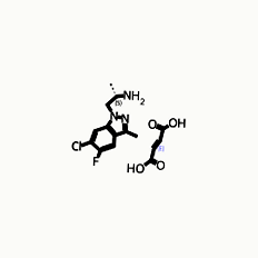 Cc1nn(C[C@H](C)N)c2cc(Cl)c(F)cc12.O=C(O)/C=C/C(=O)O